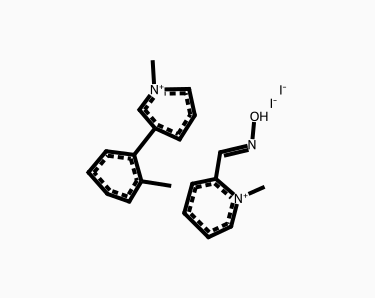 C[n+]1ccccc1C=NO.Cc1ccccc1-c1ccc[n+](C)c1.[I-].[I-]